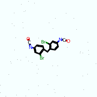 O=C=Nc1ccc(Cc2ccc(N=C=O)cc2Br)c(Br)c1